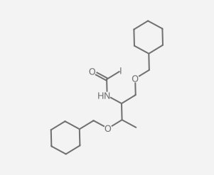 CC(OCC1CCCCC1)C(COCC1CCCCC1)NC(=O)I